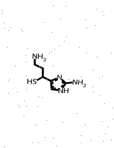 NCCC(S)c1c[nH]c(N)n1